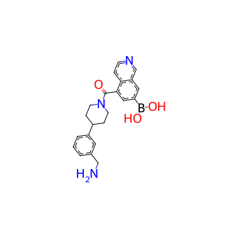 NCc1cccc(C2CCN(C(=O)c3cc(B(O)O)cc4cnccc34)CC2)c1